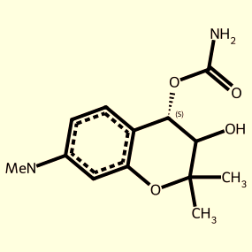 CNc1ccc2c(c1)OC(C)(C)C(O)[C@H]2OC(N)=O